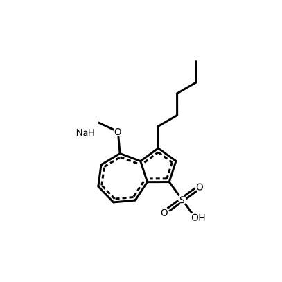 CCCCCc1cc(S(=O)(=O)O)c2ccccc(OC)c1-2.[NaH]